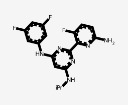 CC(C)Nc1cc(Nc2cc(F)cc(F)c2)nc(-c2nc(N)ccc2F)n1